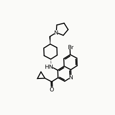 O=C(c1cnc2ccc(Br)cc2c1N[C@H]1CC[C@H](CN2CCCC2)CC1)C1CC1